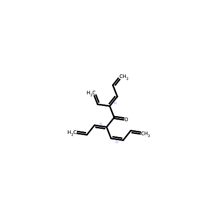 C=C/C=C\C(=C/C=C)C(=O)/C(C=C)=C/C=C